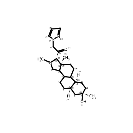 CN1CC2C3CC[C@@H]4C[C@](C)(O)CC[C@@H]4C3CC[C@]2(C)[C@H]1C(=O)Cn1cccn1